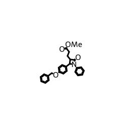 COC(=O)CCC1C(=O)N(c2ccccc2)C1c1ccc(OCc2ccccc2)cc1